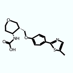 Cc1cnc(-c2ccc(OC[C@H]3COCC[C@H]3NC(=O)O)cc2)s1